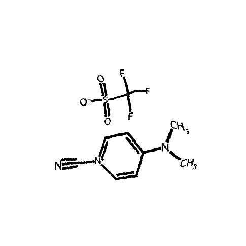 CN(C)c1cc[n+](C#N)cc1.O=S(=O)([O-])C(F)(F)F